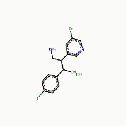 CC(c1ccc(F)cc1)C(CN)c1cncc(Br)c1.Cl